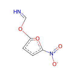 N=COc1ccc([N+](=O)[O-])o1